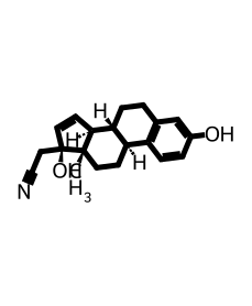 C[C@]12CC[C@@H]3c4ccc(O)cc4CC[C@H]3[C@@H]1C=C[C@@]2(O)CC#N